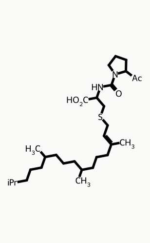 CC(=O)C1CCCN1C(=O)NC(CSC/C=C(\C)CCCC(C)CCCC(C)CCCC(C)C)C(=O)O